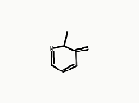 C=C1C=CC=NC1C